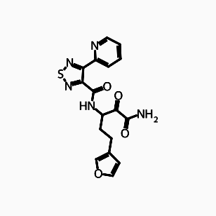 NC(=O)C(=O)C(CCc1ccoc1)NC(=O)c1nsnc1-c1ccccn1